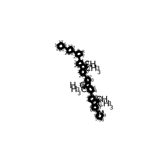 CC1(C)c2cc(-c3cccc(-c4ccc(-c5ccccc5)cc4)c3)ccc2-c2ccc(-c3ccc4c(c3)C(C)(C)c3cc(-c5ccc6c(c5)C(C)(C)c5cc(-c7ccccn7)ccc5-6)ccc3-4)cc21